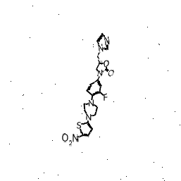 O=C1O[C@H](Cn2ccnc2)CN1c1ccc(N2CCN(c3ccc([N+](=O)[O-])s3)CC2)c(F)c1